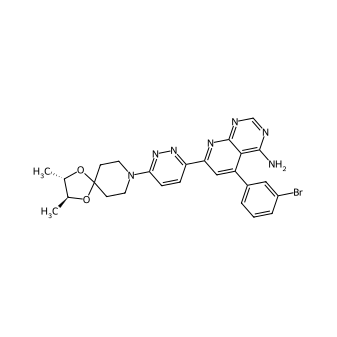 C[C@@H]1OC2(CCN(c3ccc(-c4cc(-c5cccc(Br)c5)c5c(N)ncnc5n4)nn3)CC2)O[C@H]1C